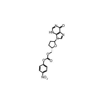 O=C(OC[C@@H]1CCC(n2cnc3c(=O)nc[nH]c32)O1)Oc1ccc([N+](=O)[O-])cc1